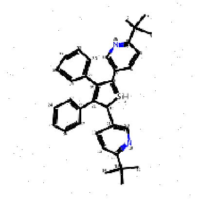 CC(C)(C)c1ccc(C2=[SiH]C(c3ccc(C(C)(C)C)nc3)C(c3ccccc3)=C2c2ccccc2)cn1